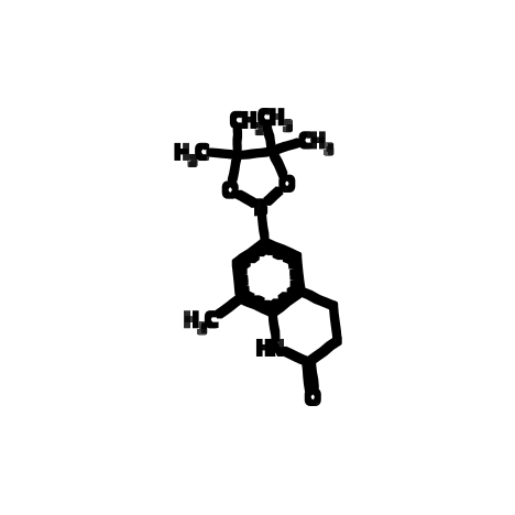 Cc1cc(B2OC(C)(C)C(C)(C)O2)cc2c1NC(=O)CC2